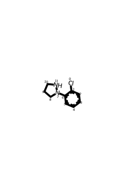 Clc1ccccc1N1CCCN1